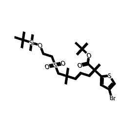 CC(C)(CCCC(C)(C(=O)OC(C)(C)C)c1cc(Br)cs1)CS(=O)(=O)CCO[Si](C)(C)C(C)(C)C